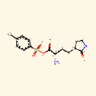 Cc1ccc(S(=O)(=O)OC(=O)[C@@H](N)CC[C@H]2CCNC2=O)cc1